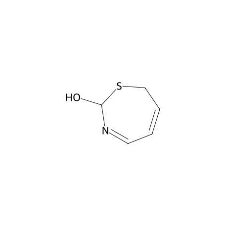 OC1N=CC=CCS1